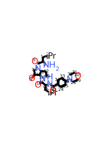 CC(C)CC(N)C(=O)N1CC(=O)C2C1CCN2C(=O)C(CC(C)C)NC(=O)c1ccc(N2CCOCC2)cc1